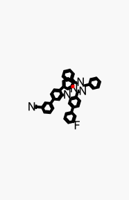 N#Cc1cccc(-c2ccc3c4ccccc4n(-c4cc(-c5cccc(F)c5)ccc4-c4nc(-c5ccccc5)nc(-c5ccccc5)n4)c3c2)c1